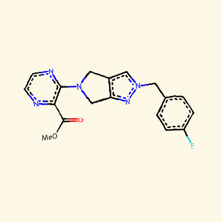 COC(=O)c1nccnc1N1Cc2cn(Cc3ccc(F)cc3)nc2C1